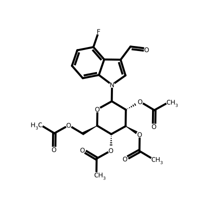 CC(=O)OC[C@H]1OC(n2cc(C=O)c3c(F)cccc32)[C@H](OC(C)=O)[C@@H](OC(C)=O)[C@@H]1OC(C)=O